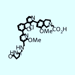 COc1cc(-c2nccc(-c3cccc(-c4ccc(CNC[C@H]5CCC(=O)N5)c(OC)n4)c3Cl)c2Cl)cc2c1CN(CC(=O)O)CC2